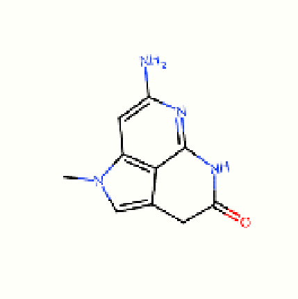 Cn1cc2c3c(nc(N)cc31)NC(=O)C2